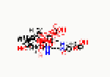 CC1C2(C)CCC(O)C(C)(C=O)[C@@H]2CC[C@@]12CC=C1C3CC(C)(C)CCC3(C(=O)O[C@@H]3O[C@H](CO)C(NC(=O)CCCCCNC(=O)c4ccc(COc5cccc(O)c5C=O)cc4)C(O)C3O[C@@H]3O[C@H](C)C(O[C@@H]4OC[C@@H](O)C(O)C4O)C(O)C3O)[C@H](O)C[C@]12C